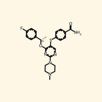 C[C@H](Oc1nc(N2CCN(C)CC2)ncc1Sc1ccc(C(N)=O)cc1)c1ccc(F)cc1